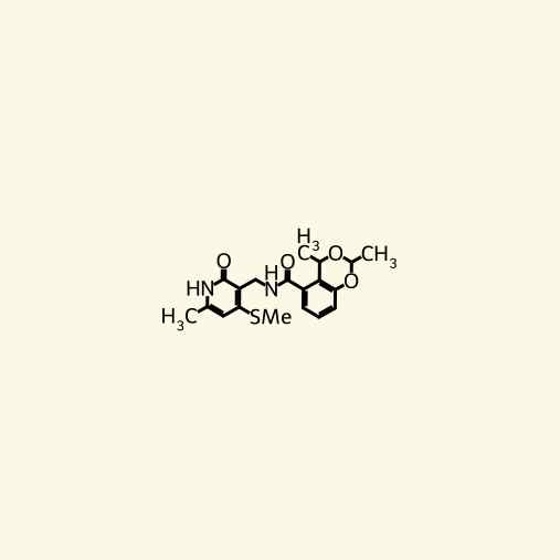 CSc1cc(C)[nH]c(=O)c1CNC(=O)c1cccc2c1C(C)OC(C)O2